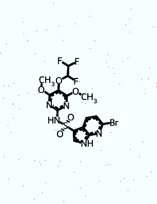 COc1nc(NS(=O)(=O)c2c[nH]c3nc(Br)ccc23)nc(OC)c1OC(F)C(F)F